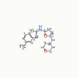 FC(F)(F)c1ccc2oc(Nc3nnc(CN4CCOCC4)o3)nc2c1